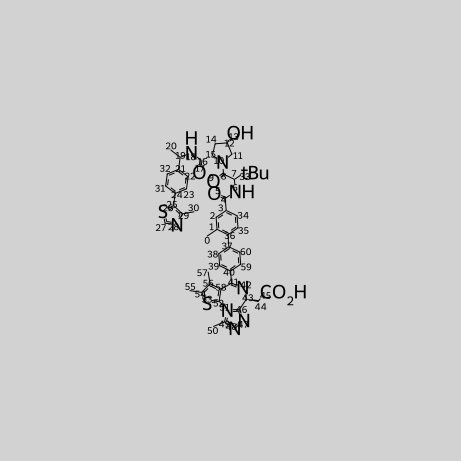 Cc1cc(C(=O)NC(C(=O)N2C[C@H](O)C[C@H]2C(=O)NC(C)c2ccc(-c3scnc3C)cc2)C(C)(C)C)ccc1-c1ccc(C2=N[C@@H](CC(=O)O)c3nnc(C)n3-c3sc(C)c(C)c32)cc1